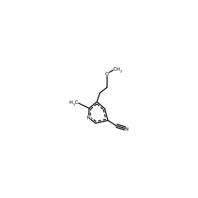 COCCc1cc(C#N)cnc1C